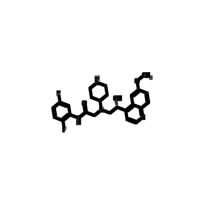 COc1ccc2nccc([C@@H](O)CN(CC(=O)Nc3cc(F)ccc3F)C3CCNCC3)c2c1